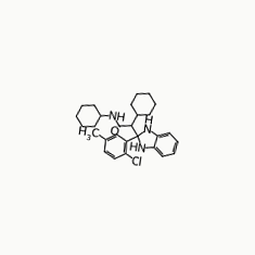 Cc1ccc(Cl)c(C2(C(C(=O)NC3CCCCC3)C3CCCCC3)Nc3ccccc3N2)c1